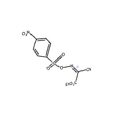 CCOC(=O)/C(C#N)=N\OS(=O)(=O)c1ccc([N+](=O)[O-])cc1